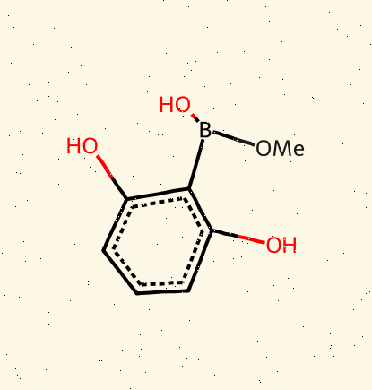 COB(O)c1c(O)cccc1O